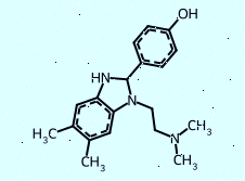 Cc1cc2c(cc1C)N(CCN(C)C)C(c1ccc(O)cc1)N2